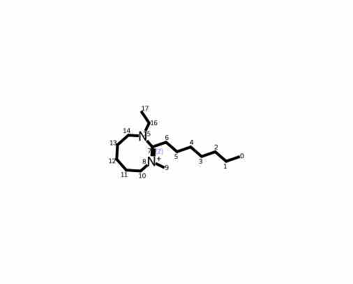 CCCCCCC/C1=[N+](\C)CCCCCN1CC